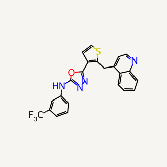 FC(F)(F)c1cccc(Nc2nnc(-c3ccsc3Cc3ccnc4ccccc34)o2)c1